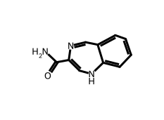 NC(=O)C1=CNc2ccccc2C=N1